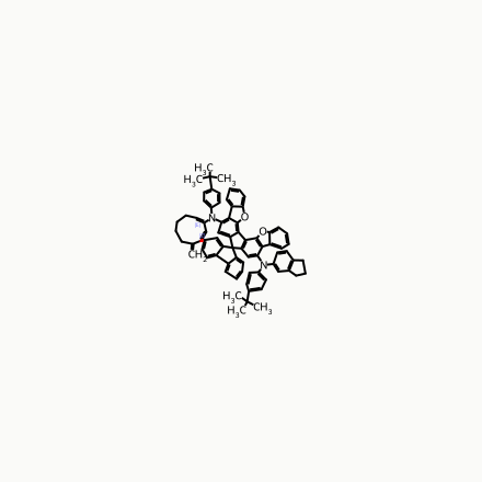 C=C1/C=C\C(N(c2ccc(C(C)(C)C)cc2)c2cc3c(c4oc5ccccc5c24)-c2c(cc(N(c4ccc(C(C)(C)C)cc4)c4ccc5c(c4)CCC5)c4c2oc2ccccc24)C32c3ccccc3-c3ccccc32)=C/CCCC1